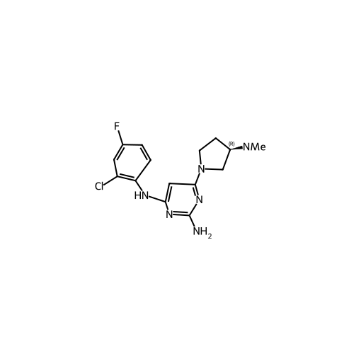 CN[C@@H]1CCN(c2cc(Nc3ccc(F)cc3Cl)nc(N)n2)C1